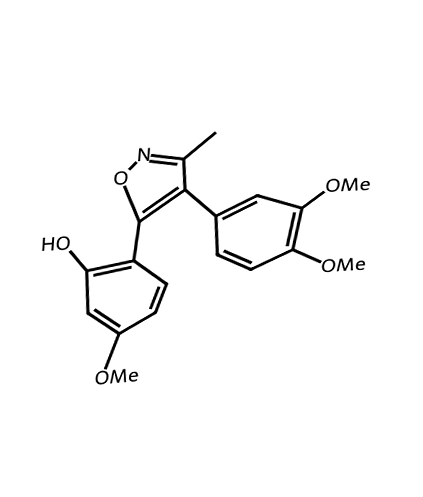 COc1ccc(-c2onc(C)c2-c2ccc(OC)c(OC)c2)c(O)c1